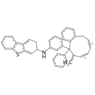 C=C1/C=C\C=C/Cc2ccccc2C1(c1ccccc1)c1cccc(NC2C=c3sc4ccccc4c3=CC2)c1